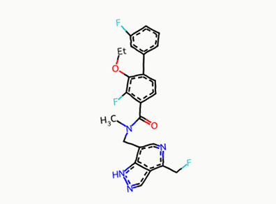 CCOc1c(-c2cccc(F)c2)ccc(C(=O)N(C)Cc2cnc(CF)c3cn[nH]c23)c1F